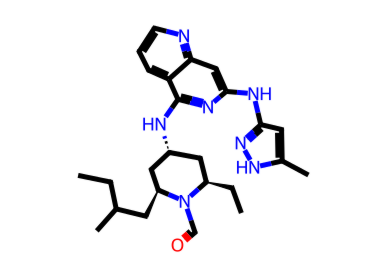 CCC(C)C[C@H]1C[C@H](Nc2nc(Nc3cc(C)[nH]n3)cc3ncccc23)C[C@@H](CC)N1C=O